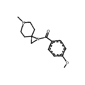 COc1ccc(C(=O)N2CC23CCN(C)CC3)cc1